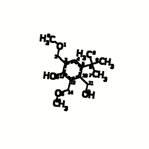 COCc1cc(C(C)(C)C)c(CO)c(COC)c1O